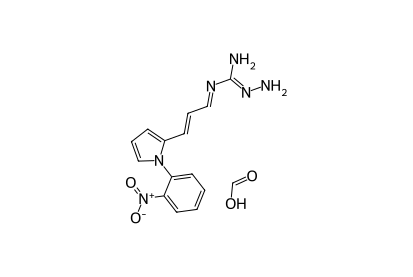 NN=C(N)N=CC=Cc1cccn1-c1ccccc1[N+](=O)[O-].O=CO